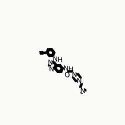 C#Cc1cccc(Nc2ncnc3ccc(NC(=O)CN4CCN(CCN(C)C)CC4)cc23)c1